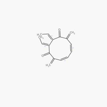 C=C1/C=C\C=C/C(=C)C(=O)C(=C/C)/C(=C\C)C1=O